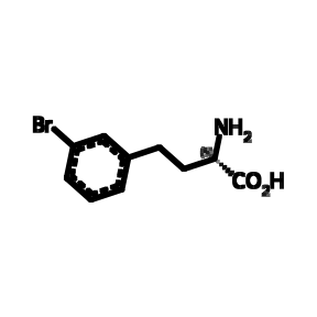 N[C@@H](CCc1cccc(Br)c1)C(=O)O